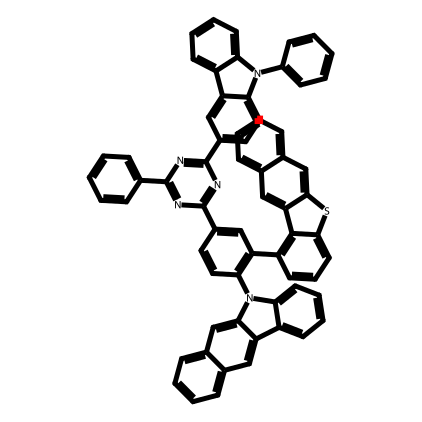 c1ccc(-c2nc(-c3ccc(-n4c5ccccc5c5cc6ccccc6cc54)c(-c4cccc5sc6cc7ccccc7cc6c45)c3)nc(-c3ccc4c(c3)c3ccccc3n4-c3ccccc3)n2)cc1